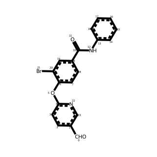 O=Cc1ccc(Oc2ccc(C(=O)Nc3ccccc3)cc2Br)nc1